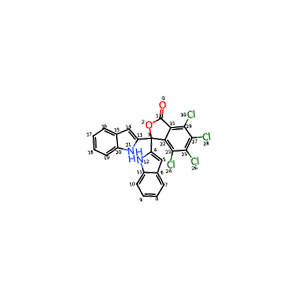 O=C1OC(c2cc3ccccc3[nH]2)(c2cc3ccccc3[nH]2)c2c(Cl)c(Cl)c(Cl)c(Cl)c21